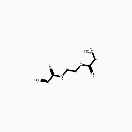 C=CC(=O)OCCOC(=O)CC(=O)O